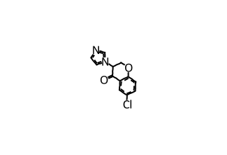 O=C1c2cc(Cl)ccc2OCC1n1ccnc1